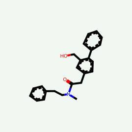 CN(CCc1ccccc1)C(=O)Cc1ccc(-c2ccccc2)c(CO)c1